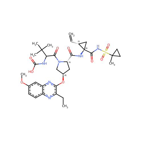 C=C[C@@H]1C[C@]1(NC(=O)[C@@H]1C[C@@H](Oc2nc3cc(OC)ccc3nc2CC)CN1C(=O)C(NC(=O)O)C(C)(C)C)C(=O)NS(=O)(=O)C1(C)CC1